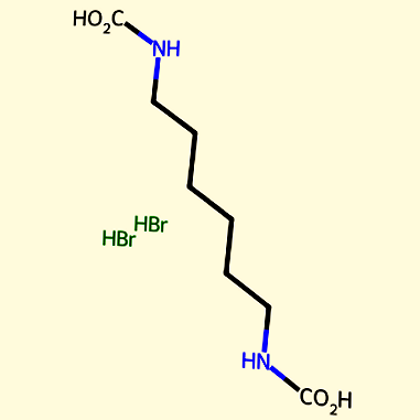 Br.Br.O=C(O)NCCCCCCNC(=O)O